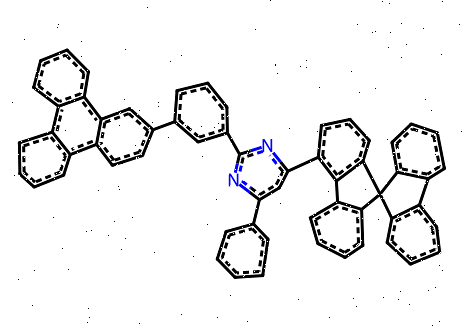 c1ccc(-c2cc(-c3cccc4c3-c3ccccc3C43c4ccccc4-c4ccccc43)nc(-c3cccc(-c4ccc5c6ccccc6c6ccccc6c5c4)c3)n2)cc1